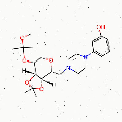 COC(C)(C)O[C@H]1CO[C@H](CN2CCN(c3cccc(O)c3)CC2)[C@@H]2OC(C)(C)O[C@@H]21